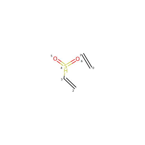 C=C.C=C[SH](=O)=O